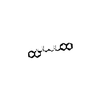 c1ccc2cc(CNCCCNc3ccc4ccccc4n3)ccc2c1